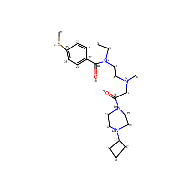 CCN(CCN(C)CC(=O)N1CCN(C2CCC2)CC1)C(=O)c1ccc(SC)cc1